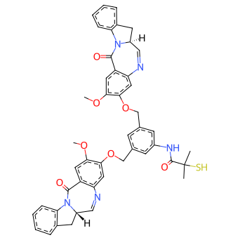 COc1cc2c(cc1OCc1cc(COc3cc4c(cc3OC)C(=O)N3c5ccccc5C[C@H]3C=N4)cc(NC(=O)C(C)(C)S)c1)N=C[C@@H]1Cc3ccccc3N1C2=O